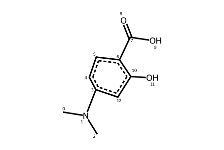 CN(C)c1ccc(C(=O)O)c(O)c1